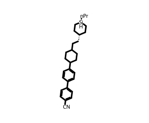 CCC[Si@H]1CC[C@H](CCC2CCC(c3ccc(-c4ccc(C#N)cc4)cc3)CC2)CC1